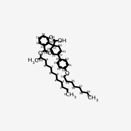 CCCCCCCCCCC(C)OC(=O)c1ccccc1C1(C(=O)O)C=CC(c2ccc(OCCCCCCCC)cc2)=CC1